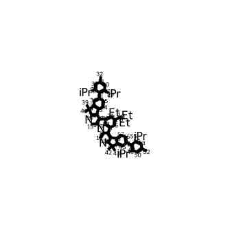 CCC(CC)(CC)c1cc2c3c4c(ncc3n3c5cnc6c(c5c(c1)c23)-c1ccc(-c2c(C(C)C)cc(C)cc2C(C)C)cc1C6(C)C)C(C)(C)c1cc(-c2c(C(C)C)cc(C)cc2C(C)C)ccc1-4